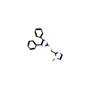 Cl.Cn1ccnc1CSc1nc(-c2ccccc2)c(-c2ccccc2)[nH]1